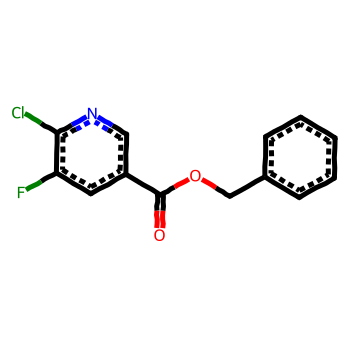 O=C(OCc1ccccc1)c1cnc(Cl)c(F)c1